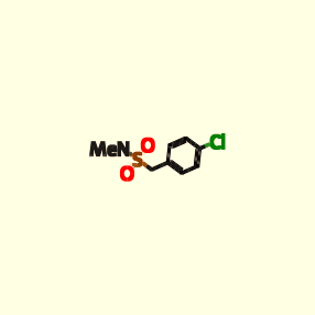 CNS(=O)(=O)Cc1ccc(Cl)cc1